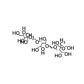 CC(CO)(OCCOC[C@H](C(CO)O/C=C/OC[C@@H]([C@@H](O)CO)C(C)(CO)OCO)[C@@H](O)CO)[C@@H](O)[C@@H](O)CO